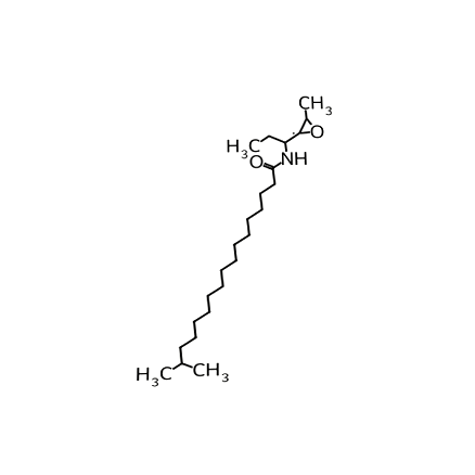 CCC(NC(=O)CCCCCCCCCCCCCCC(C)C)[C]1OC1C